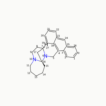 c1ccc2c(CN3[C@H]4CCN5CCCCC[C@]53C4)c3ccccc3cc2c1